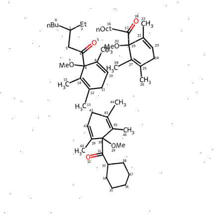 CCCCC(CC)CC(=O)C1(OC)C(C)=CCC(C)=C1C.CCCCCCCCC(=O)C1(OC)C(C)=CCC(C)=C1C.COC1(C(=O)C2CCCCC2)C(C)=CCC(C)=C1C